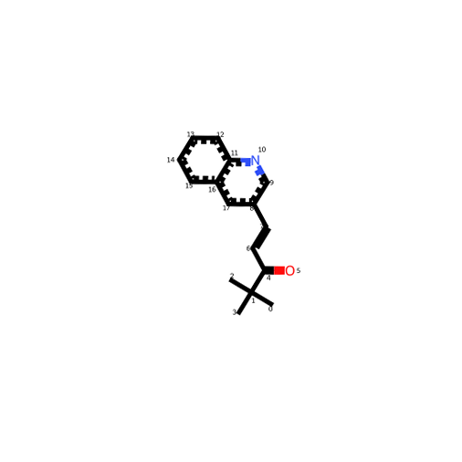 CC(C)(C)C(=O)C=Cc1cnc2ccccc2c1